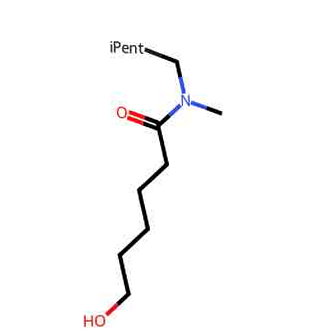 CCCC(C)CN(C)C(=O)CCCCCO